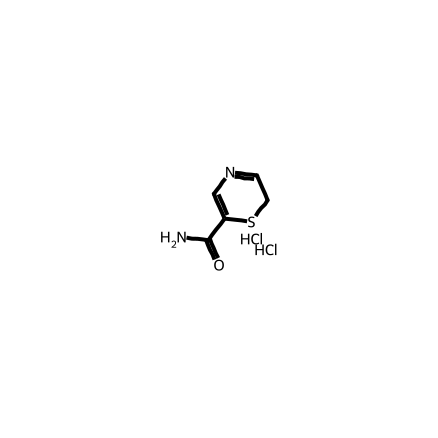 Cl.Cl.NC(=O)C1=CN=CCS1